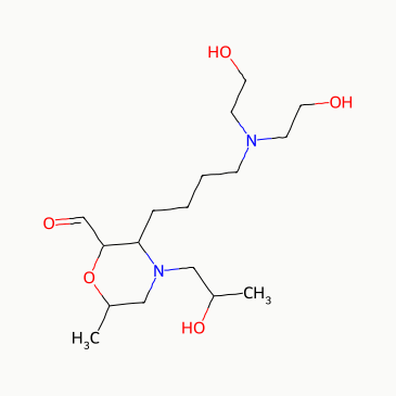 CC(O)CN1CC(C)OC(C=O)C1CCCCN(CCO)CCO